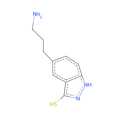 NCCCc1ccc2[nH]nc(S)c2c1